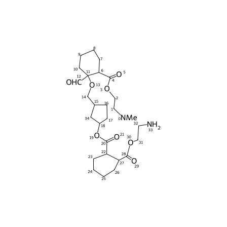 CNCCOC(=O)C1CCCCC1(C=O)OCC1CCC(OC(=O)C2CCCCC2C(=O)OCCN)C1